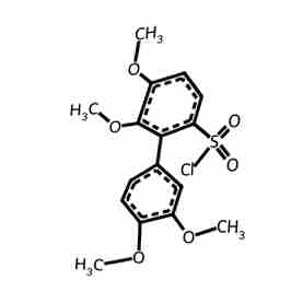 COc1ccc(-c2c(S(=O)(=O)Cl)ccc(OC)c2OC)cc1OC